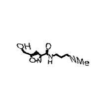 CNCCCNC(=O)c1cc(CO)on1